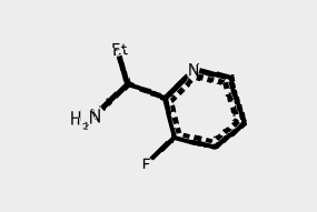 CCC(N)c1ncccc1F